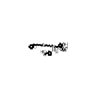 CS(=O)(=O)Nc1cc(C(O)CNCCCCCCOCCCCc2cc3ccccc3o2)ccc1O.O=C(O)c1ccccc1